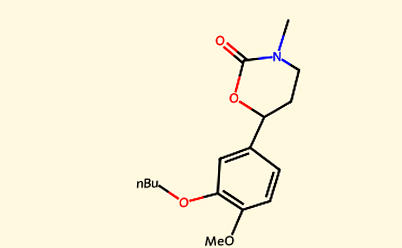 CCCCOc1cc(C2CCN(C)C(=O)O2)ccc1OC